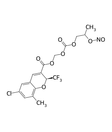 Cc1cc(Cl)cc2c1O[C@H](C(F)(F)F)C(C(=O)OCOC(=O)OCC(C)ON=O)=C2